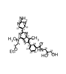 CCOCCN(C)c1nc(-c2cnc(N)nc2)nc2c(C)c(-c3cccc(C(=O)NCC(O)CO)c3)sc12